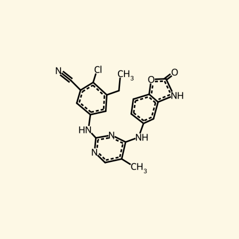 CCc1cc(Nc2ncc(C)c(Nc3ccc4oc(=O)[nH]c4c3)n2)cc(C#N)c1Cl